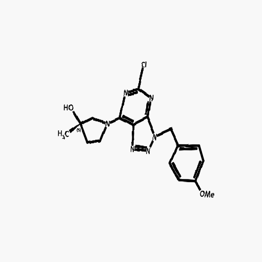 COc1ccc(Cn2nnc3c(N4CC[C@](C)(O)C4)nc(Cl)nc32)cc1